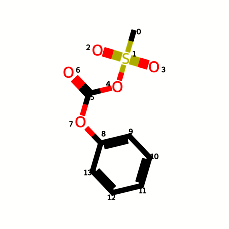 CS(=O)(=O)OC(=O)Oc1ccccc1